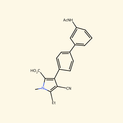 CCc1c(C#N)c(-c2ccc(-c3cccc(NC(C)=O)c3)cc2)c(C(=O)O)n1C